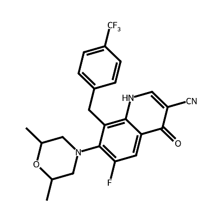 CC1CN(c2c(F)cc3c(=O)c(C#N)c[nH]c3c2Cc2ccc(C(F)(F)F)cc2)CC(C)O1